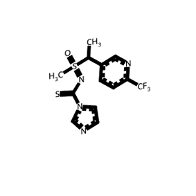 CC(c1ccc(C(F)(F)F)nc1)S(C)(=O)=NC(=S)n1ccnc1